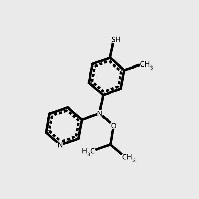 Cc1cc(N(OC(C)C)c2cccnc2)ccc1S